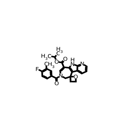 Cc1cc(C(=O)N2C=C(C(=O)OC(C)C)c3[nH]c4ncccc4c3C3(CCO3)C2)ccc1F